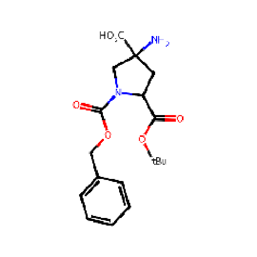 CC(C)(C)OC(=O)C1CC(N)(C(=O)O)CN1C(=O)OCc1ccccc1